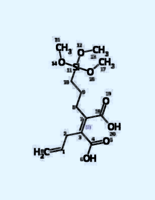 C=CC/C(C(=O)O)=C(\CCC[Si](OC)(OC)OC)C(=O)O